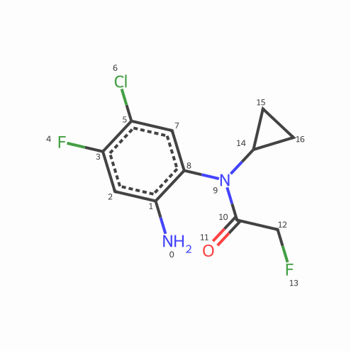 Nc1cc(F)c(Cl)cc1N(C(=O)CF)C1CC1